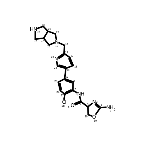 NC1=NC(C(=O)Nc2cc(-c3ccc(CN4CC5CNCC5C4)nc3)ccc2Cl)CO1